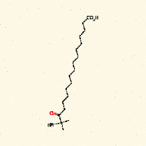 CCCC(C)(C)C(=O)CCCCCCCCCCCCCCC(=O)O